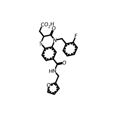 O=C(O)CC1Sc2ccc(C(=O)NCc3ccco3)cc2N(Cc2ccccc2F)C1=O